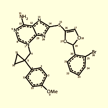 COc1ccc(C2(Cn3cnc(N)c4nc(SC5=COC(c6ccccc6Br)O5)nc3-4)CC2)cc1